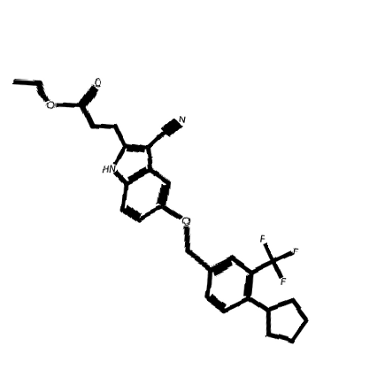 CCOC(=O)CCc1[nH]c2ccc(OCc3ccc(C4CCCC4)c(C(F)(F)F)c3)cc2c1C#N